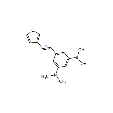 CN(C)c1cc(/C=C/c2ccoc2)cc(B(O)O)c1